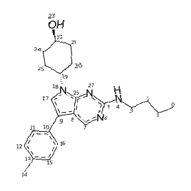 CCCCNc1ncc2c(-c3ccc(C)cc3)cn([C@H]3CC[C@H](O)CC3)c2n1